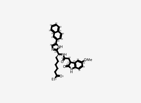 CCC(=O)CCCCC[C@H](NC(=O)CC1C(=O)Nc2ccc(OC)cc21)c1ncc(-c2ccc3ccccc3c2)[nH]1